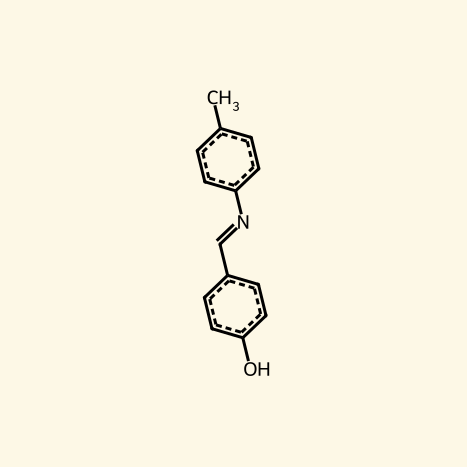 Cc1ccc(N=Cc2ccc(O)cc2)cc1